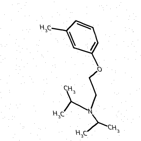 Cc1cccc(OCCN(C(C)C)C(C)C)c1